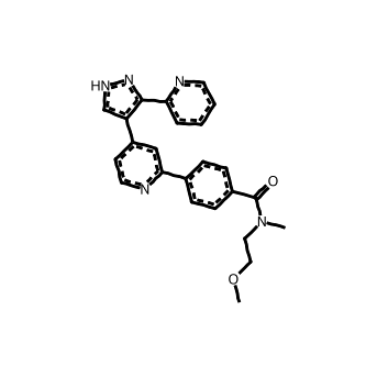 COCCN(C)C(=O)c1ccc(-c2cc(-c3c[nH]nc3-c3ccccn3)ccn2)cc1